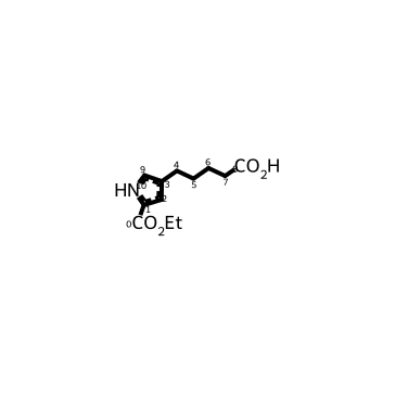 CCOC(=O)c1cc(CCCCC(=O)O)c[nH]1